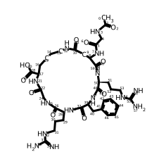 CC(=O)NCC(=O)NC1CC(=O)NCCCCC(C(=O)O)NC(=O)CNC(=O)C(CCCNC(=N)N)NC(=O)C(Cc2ccccc2)NC(=O)[C@H](CCCNC(=N)N)NC1=O